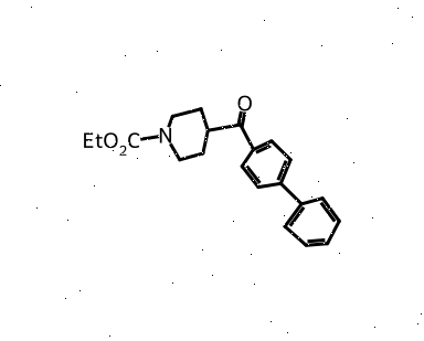 CCOC(=O)N1CCC(C(=O)c2ccc(-c3ccccc3)cc2)CC1